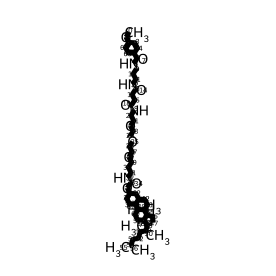 COc1ccc(C(=O)NCCCNC(=O)CCC(=O)NCCOCCOCCOCCCNC(=O)OC2CC[C@@]3(C)C(=CC[C@H]4[C@@H]5CC[C@H]([C@H](C)CCCC(C)C)[C@@]5(C)CC[C@@H]43)C2)cc1